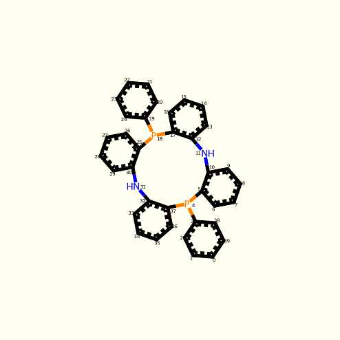 c1ccc(P2c3ccccc3Nc3ccccc3P(c3ccccc3)c3ccccc3Nc3ccccc32)cc1